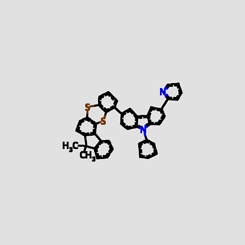 CC1(C)c2ccccc2-c2c1ccc1c2Sc2c(cccc2-c2ccc3c(c2)c2cc(-c4ccccn4)ccc2n3-c2ccccc2)S1